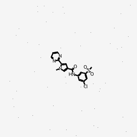 Cn1cc(C(=O)Nc2cc(Cl)cc(S(C)(=O)=O)c2)cc1-c1ncccn1